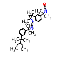 CCC(CC)C(C)(C)c1cccc(C(C)(C)N=C=NC2(C)CC2(C)c2cccc(C(C)(C)N=C=O)c2)c1